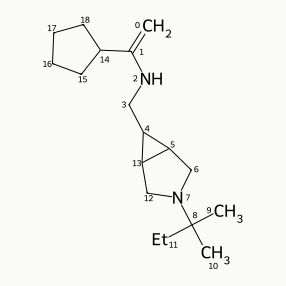 C=C(NCC1C2CN(C(C)(C)CC)CC12)C1CCCC1